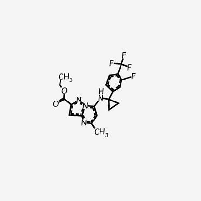 CCOC(=O)c1cc2nc(C)cc(NC3(c4ccc(C(F)(F)F)c(F)c4)CC3)n2n1